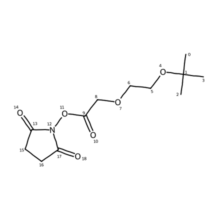 CC(C)(C)OCCOCC(=O)ON1C(=O)CCC1=O